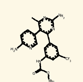 Cc1nc(N)nc(-c2cc(NC(=O)OC(C)(C)C)cc(C(F)(F)F)c2)c1-c1ccc(N)nc1